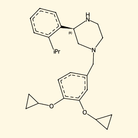 CC(C)c1ccccc1[C@@H]1CN(Cc2ccc(OC3CC3)c(OC3CC3)c2)CCN1